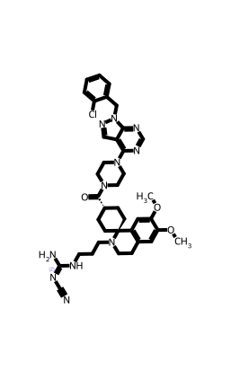 COc1cc2c(cc1OC)[C@]1(CC[C@@H](C(=O)N3CCN(c4ncnc5c4cnn5Cc4ccccc4Cl)CC3)CC1)N(CCCN/C(N)=N\C#N)CC2